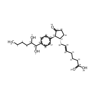 CCCCC(O)C(O)c1ccc([C@H]2C(=O)CC[C@@H]2CC=CCCCC(=O)O)cc1